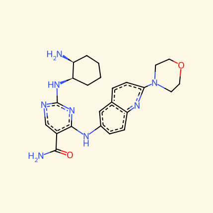 NC(=O)c1cnc(N[C@@H]2CCCC[C@@H]2N)nc1Nc1ccc2nc(N3CCOCC3)ccc2c1